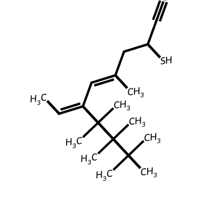 C#CC(S)C/C(C)=C/C(=C\C)C(C)(C)C(C)(C)C(C)(C)C